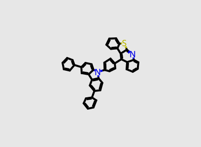 c1ccc(-c2ccc3c(c2)c2cc(-c4ccccc4)ccc2n3-c2ccc(-c3c4ccccc4nc4sc5ccccc5c34)cc2)cc1